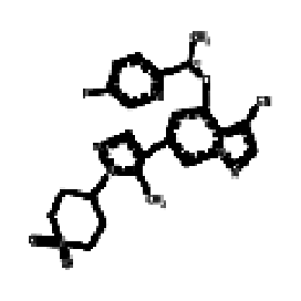 Cc1c(-c2cc(O[C@H](C)c3ccc(F)cn3)c3c(C#N)cnn3c2)cnn1C1CCS(=O)(=O)CC1